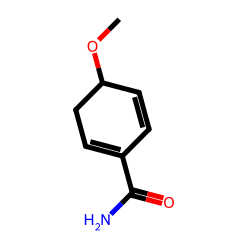 COC1C=CC(C(N)=O)=CC1